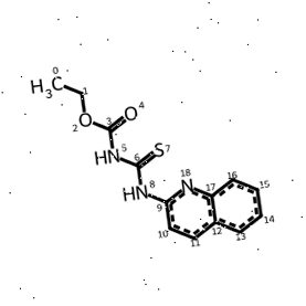 CCOC(=O)NC(=S)Nc1ccc2ccccc2n1